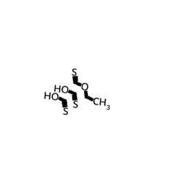 CCOC=S.OC=S.OC=S